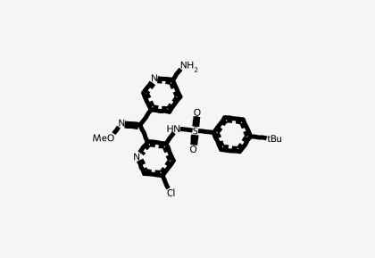 CO/N=C(/c1ccc(N)nc1)c1ncc(Cl)cc1NS(=O)(=O)c1ccc(C(C)(C)C)cc1